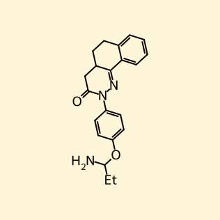 CCC(N)Oc1ccc(N2N=C3c4ccccc4CCC3CC2=O)cc1